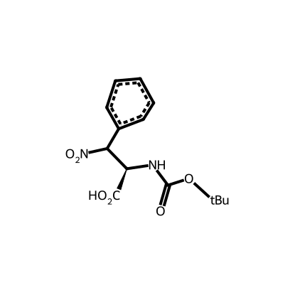 CC(C)(C)OC(=O)N[C@@H](C(=O)O)C(c1ccccc1)[N+](=O)[O-]